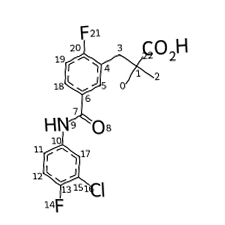 CC(C)(Cc1cc(C(=O)Nc2ccc(F)c(Cl)c2)ccc1F)C(=O)O